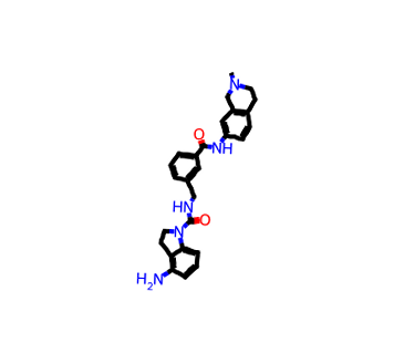 CN1CCc2ccc(NC(=O)c3cccc(CNC(=O)N4CCc5c(N)cccc54)c3)cc2C1